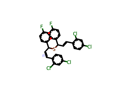 Fc1ccc(C(C=Cc2ccc(Cl)cc2Cl)SC(/C=C\c2ccc(Cl)cc2Cl)c2ccc(F)cc2)cc1